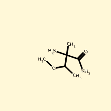 COC(C)C(C)(N)C(N)=O